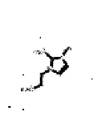 CCCCCCCCCCCCN1C=CN(C(C)C)C1CCCCCCCCC